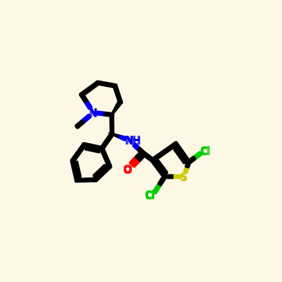 CN1CCCC[C@H]1[C@@H](NC(=O)c1cc(Cl)sc1Cl)c1ccccc1